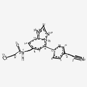 N#Cc1ccc(-c2cc(NC(=O)CCl)cc3ncnn23)cc1